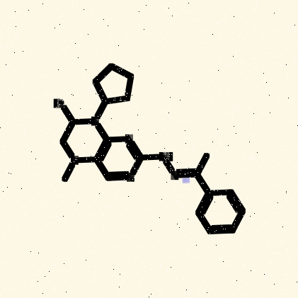 CCC1CN(C)c2cnc(N/N=C(\C)c3ccccc3)nc2N1C1CCCC1